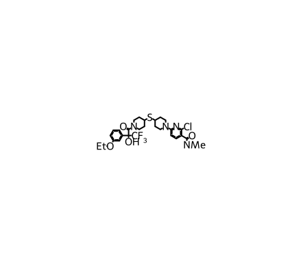 CCOc1cccc(C(O)(C(=O)N2CCC(SC3CCN(c4ccc(C(=O)NC)c(Cl)n4)CC3)CC2)C(F)(F)F)c1